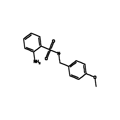 COc1ccc(C[N]S(=O)(=O)c2ccccc2N)cc1